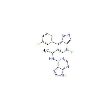 CC(Nc1ncnc2[nH]cnc12)c1cn(F)c2cnnc-2c1-c1cccc(F)c1